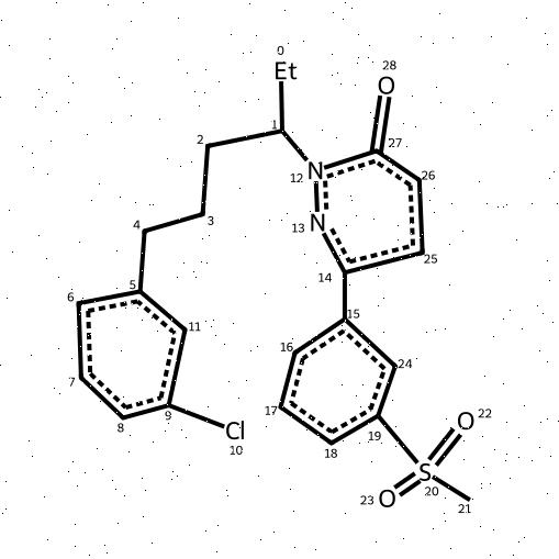 CCC(CCCc1cccc(Cl)c1)n1nc(-c2cccc(S(C)(=O)=O)c2)ccc1=O